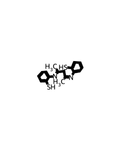 CC(CC(C)=Nc1ccccc1S)=Nc1ccccc1S